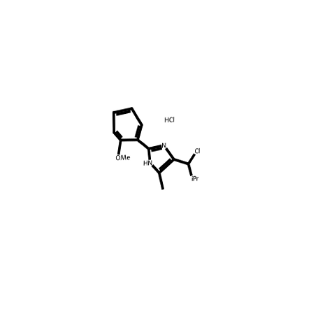 COc1ccccc1-c1nc(C(Cl)C(C)C)c(C)[nH]1.Cl